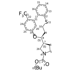 CC(C)(C)OC(=O)N1CC[C@H]([C@H](CCSc2ccccc2)Oc2ccc(C(F)(F)F)cc2)C1